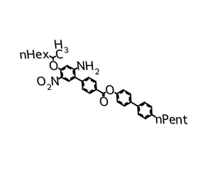 CCCCCCC(C)Oc1cc(N)c(-c2ccc(C(=O)Oc3ccc(-c4ccc(CCCCC)cc4)cc3)cc2)cc1[N+](=O)[O-]